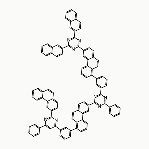 c1ccc(-c2cc(-c3cccc(-c4cccc5c4ccc4ccc(-c6nc(-c7ccccc7)nc(-c7cccc(-c8cccc9c8ccc8ccc(-c%10nc(-c%11ccc%12ccccc%12c%11)nc(-c%11ccc%12ccccc%12c%11)n%10)cc89)c7)n6)cc45)c3)nc(-c3ccc4ccc5ccccc5c4c3)n2)cc1